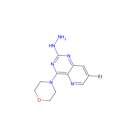 CCc1cnc2c(N3CCOCC3)nc(NN)nc2c1